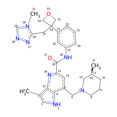 Cc1c[nH]c2c(CN3CCC[C@H](C)C3)cc(C(=O)Nc3cccc(C4(Cc5nncn5C)COC4)c3)nc12